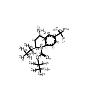 [2H]C([2H])([2H])C([2H])([2H])OC(=O)N1c2ccc(C(F)(F)F)cc2[C@@H](N)C[C@@H]1C([2H])([2H])C([2H])([2H])[2H]